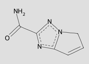 NC(=O)c1nc2n(n1)CC=C2